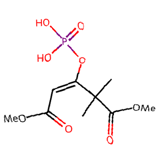 COC(=O)C=C(OP(=O)(O)O)C(C)(C)C(=O)OC